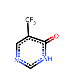 O=c1[nH]cncc1C(F)(F)F